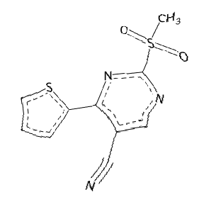 CS(=O)(=O)c1ncc(C#N)c(-c2cccs2)n1